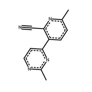 Cc1ccc(-c2ccnc(C)n2)c(C#N)n1